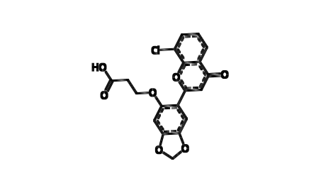 O=C(O)CCOc1cc2c(cc1-c1cc(=O)c3cccc(Cl)c3o1)OCO2